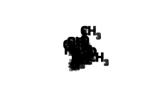 CCCCOC(=O)N1CCN(C(=O)[C@@H](NC(=O)c2cc(N3C[C@@H]4[C@H](C3)[C@@H]4C(=O)O)nc(-c3ccccc3F)n2)C(C)C)CC1